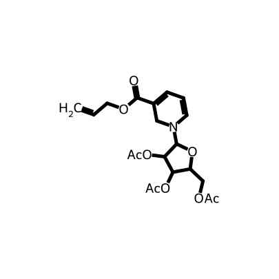 C=CCOC(=O)C1=CC=CN(C2OC(COC(C)=O)C(OC(C)=O)C2OC(C)=O)C1